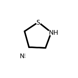 C1CNSC1.[N]